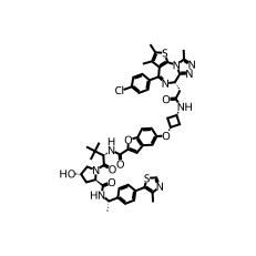 Cc1ncsc1-c1ccc([C@H](C)NC(=O)[C@H]2C[C@H](O)CN2C(=O)[C@@H](NC(=O)c2cc3cc(O[C@H]4C[C@@H](NC(=O)C[C@@H]5N=C(c6ccc(Cl)cc6)c6c(sc(C)c6C)-n6c(C)nnc65)C4)ccc3o2)C(C)(C)C)cc1